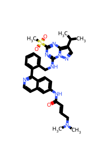 CC(C)c1cnn2c(NCc3ccccc3-c3nccc4cc(NC(=O)/C=C/CN(C)C)ccc34)nc(S(C)(=O)=O)nc12